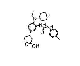 CCC(CC(=O)O)c1ccc(N(CC)C2CCOCC2)c(NC(=O)Nc2ccc(C)cc2)c1